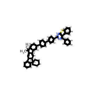 CC1(C)C2=CC3c4ccccc4C4(CCCCC4)C3C=C2c2cc(-c3ccc(-c4ccc(-c5nc(-c6ccccc6)c6c(n5)sc5ccccc56)cc4)cc3)ccc21